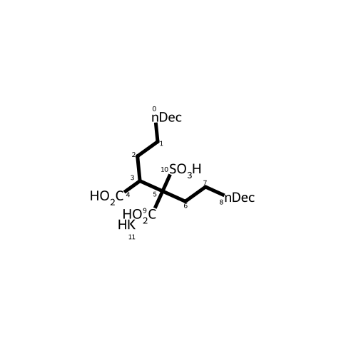 CCCCCCCCCCCCC(C(=O)O)C(CCCCCCCCCCCC)(C(=O)O)S(=O)(=O)O.[KH]